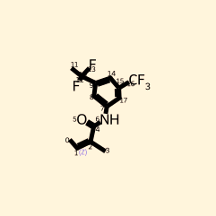 C/C=C(/C)C(=O)Nc1cc(C(C)(F)F)cc(C(F)(F)F)c1